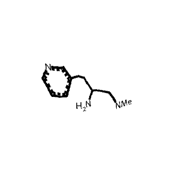 CNCC(N)Cc1cccnc1